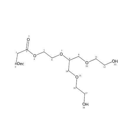 CCCCCCCCCCCC(=O)OCCOC(COCCO)COCCO